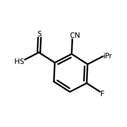 CC(C)c1c(F)ccc(C(=S)S)c1C#N